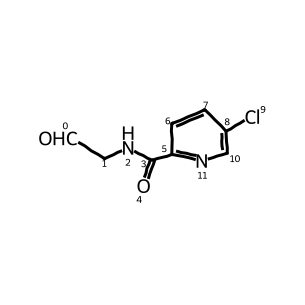 O=CCNC(=O)c1ccc(Cl)cn1